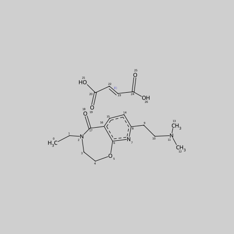 CCN1CCOc2nc(CCN(C)C)ccc2C1=O.O=C(O)/C=C/C(=O)O